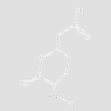 O=C(O)CC1CC[C@H](NCl)B(O)O1